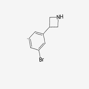 Brc1c[c]cc(C2CNC2)c1